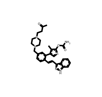 CC(=O)CCN1CCN(Cc2ccc(/C=C/c3n[nH]c4ccccc34)c(-c3csc(OC(N)=O)c3C)c2)CC1